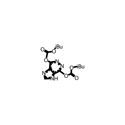 CCC(C)OC(=O)Oc1nnc(OC(=O)OC(C)CC)c2[nH]cnc12